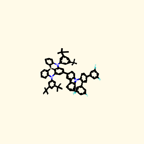 CC(C)(C)c1cc(N2c3ccccc3B3c4ccccc4N(c4cc(C(C)(C)C)cc(C(C)(C)C)c4)c4cc(-c5ccc6c(c5)c5ccccc5n6-c5ccc(-c6cc(F)cc(F)c6)cc5-c5cc(F)cc(F)c5)cc2c43)cc(C(C)(C)C)c1